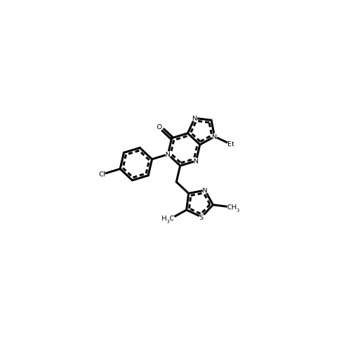 CCn1cnc2c(=O)n(-c3ccc(Cl)cc3)c(Cc3nc(C)sc3C)nc21